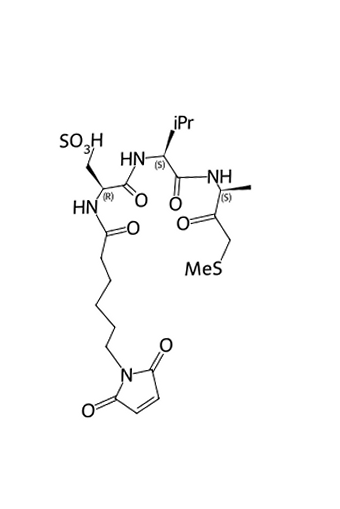 CSCC(=O)[C@H](C)NC(=O)[C@@H](NC(=O)[C@H](CS(=O)(=O)O)NC(=O)CCCCCN1C(=O)C=CC1=O)C(C)C